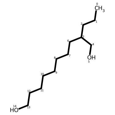 CCCC(CO)CCCCCCCCO